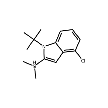 C[SiH](C)c1cc2c(Cl)cccc2n1C(C)(C)C